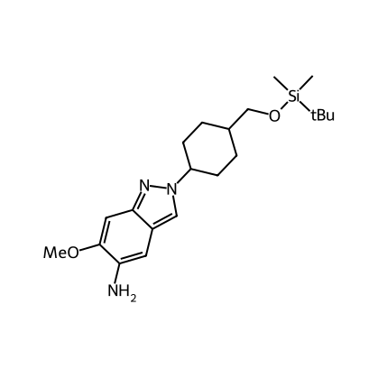 COc1cc2nn(C3CCC(CO[Si](C)(C)C(C)(C)C)CC3)cc2cc1N